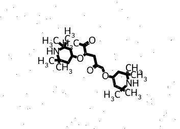 CC(=O)C(CC(=O)COC1CC(C)(C)NC(C)(C)C1)OC1CC(C)(C)NC(C)(C)C1